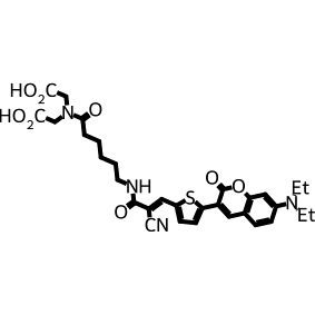 CCN(CC)c1ccc2cc(-c3ccc(/C=C(\C#N)C(=O)NCCCCCC(=O)N(CC(=O)O)CC(=O)O)s3)c(=O)oc2c1